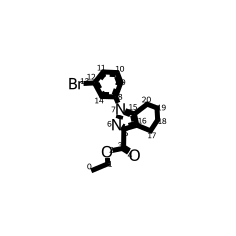 CCOC(=O)c1nn(-c2cccc(Br)c2)c2c1CCCC2